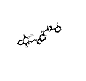 CC(C)(C)OC(=O)N1CCCC1C(=O)NCCn1cnc2cnc(Nc3ncc(-c4ccncc4F)s3)cc21